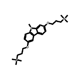 Cn1c2ccc(OCCC[N+](C)(C)C)cc2c2ccc(OCCC[N+](C)(C)C)cc21